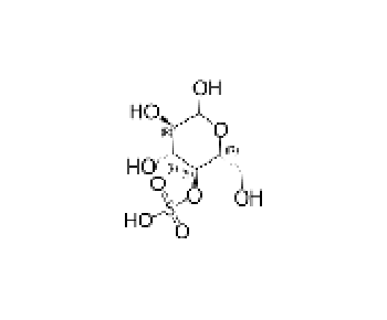 O=S(=O)(O)O[C@H]1[C@H](O)[C@@H](O)C(O)O[C@@H]1CO